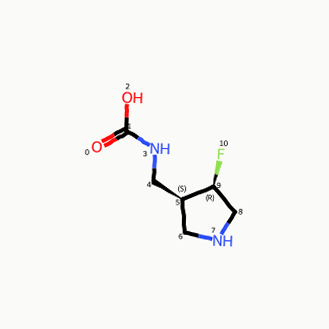 O=C(O)NC[C@@H]1CNC[C@@H]1F